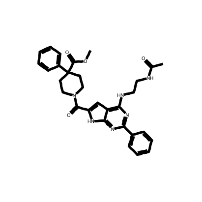 COC(=O)C1(c2ccccc2)CCN(C(=O)c2cc3c(NCCNC(C)=O)nc(-c4ccccc4)nc3[nH]2)CC1